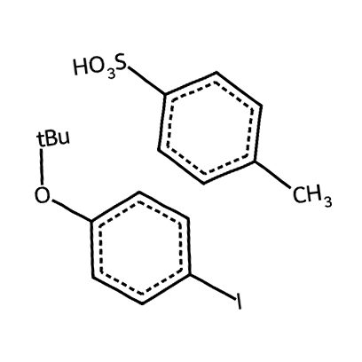 CC(C)(C)Oc1ccc(I)cc1.Cc1ccc(S(=O)(=O)O)cc1